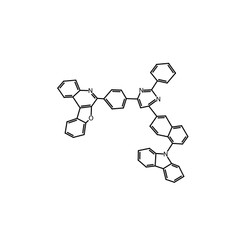 c1ccc(-c2nc(-c3ccc(-c4nc5ccccc5c5c4oc4ccccc45)cc3)cc(-c3ccc4c(-n5c6ccccc6c6ccccc65)cccc4c3)n2)cc1